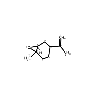 C=C(C)C1CCC2(C)O[C@H]2C1